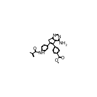 C=C(C)C(=O)Nc1ccc(C2=C(c3ccc(C(=O)OC)cc3)c3c(N)ncnc3C2)cc1